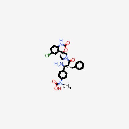 CN(C(=O)O)c1ccc(C(N)[C@@H](Cc2ccccc2)C(=O)N2CC[C@@]3(C2)OC(=O)Nc2ccc(Cl)cc23)cc1